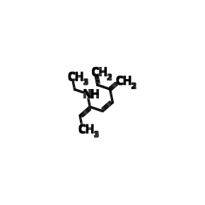 C=CC(=C)/C=C\C(=C/C)NCC